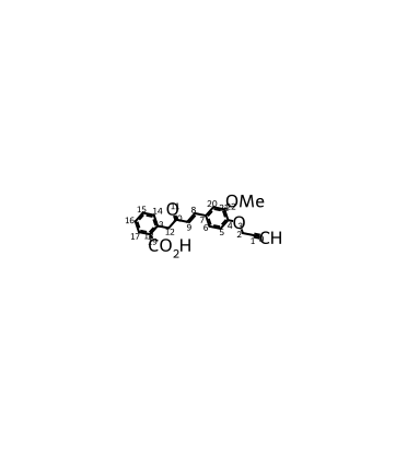 C#CCOc1ccc(/C=C/C(=O)Cc2ccccc2C(=O)O)cc1OC